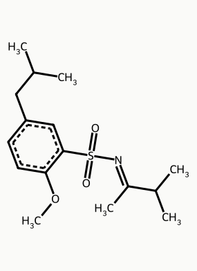 COc1ccc(CC(C)C)cc1S(=O)(=O)/N=C(\C)C(C)C